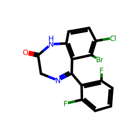 O=C1CN=C(c2c(F)cccc2F)c2c(ccc(Cl)c2Br)N1